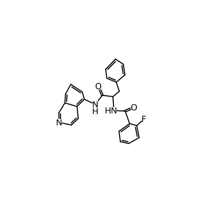 O=C(NC(Cc1ccccc1)C(=O)Nc1cccc2cnccc12)c1ccccc1F